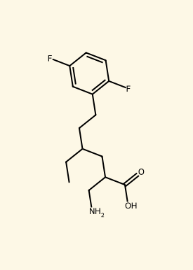 CCC(CCc1cc(F)ccc1F)CC(CN)C(=O)O